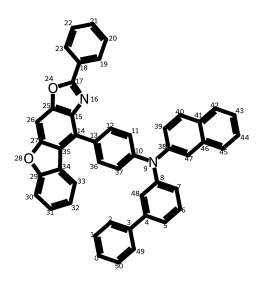 c1ccc(-c2cccc(N(c3ccc(-c4c5nc(-c6ccccc6)oc5cc5oc6ccccc6c45)cc3)c3ccc4ccccc4c3)c2)cc1